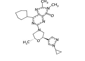 Cc1nc2c(C3CCCCC3)nc(N3C[C@@H](C)O[C@H](c4cnn(C5CC5)c4)C3)nc2c(=O)n1C